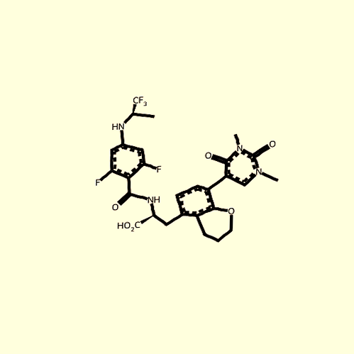 C[C@@H](Nc1cc(F)c(C(=O)N[C@@H](Cc2ccc(-c3cn(C)c(=O)n(C)c3=O)c3c2CCCO3)C(=O)O)c(F)c1)C(F)(F)F